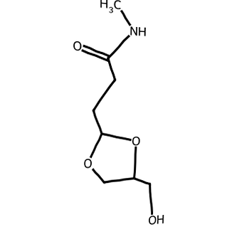 CNC(=O)CCC1OCC(CO)O1